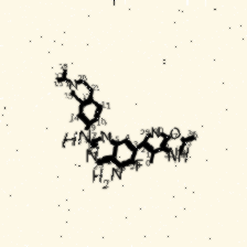 Cc1c(-c2cc3nc(Nc4ccc5c(c4)CN(C(C)C)CC5)ncc3c(N)c2F)cnc2c1NCC(C)O2